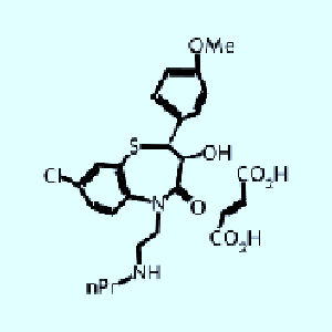 CCCNCCN1C(=O)[C@H](O)[C@H](c2ccc(OC)cc2)Sc2cc(Cl)ccc21.O=C(O)C=CC(=O)O